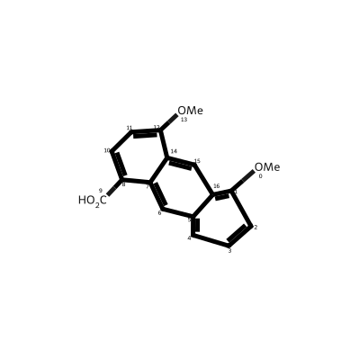 COc1cccc2cc3c(C(=O)O)ccc(OC)c3cc12